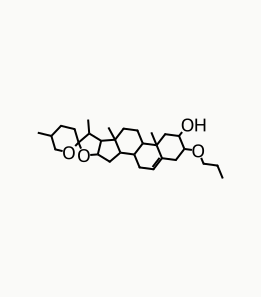 CCCOC1CC2=CCC3C(CCC4(C)C3CC3OC5(CCC(C)CO5)C(C)C34)C2(C)CC1O